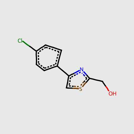 OCc1nc(-c2ccc(Cl)cc2)cs1